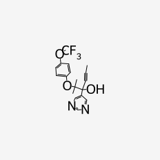 CC#CC(O)(c1cncnc1)C(C)(C)Oc1ccc(OC(F)(F)F)cc1